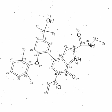 C=CC(=O)n1cc(-c2cc(C(C)(C)O)ccc2Oc2c(C)cccc2C)c2cc(C(=O)NCC)[nH]c2c1=O